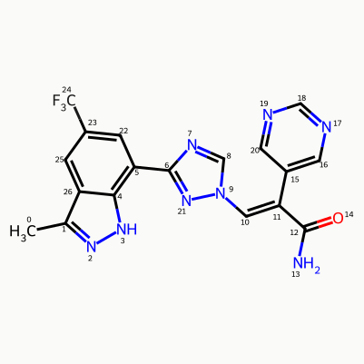 Cc1n[nH]c2c(-c3ncn(/C=C(/C(N)=O)c4cncnc4)n3)cc(C(F)(F)F)cc12